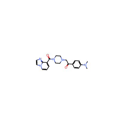 CN(C)c1ccc(C(=O)CN2CCN(C(=O)c3cccn4ccnc34)CC2)cc1